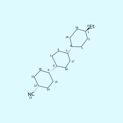 CC[C@H]1CC[C@H](C2CCC([C@H]3CC[C@@H](C#N)CC3)CC2)CC1